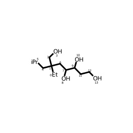 CCC(CO)(CC(C)C)CC(O)C(O)CCO